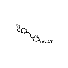 CCCCCCCCCc1ccc(CCc2ccc(OCC)cc2)nc1